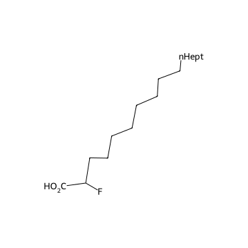 CCCCCCCCCCCCCCCC(F)C(=O)O